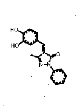 CC1=NN(c2ccccc2)C(=O)/C1=C/c1ccc(O)c(O)c1